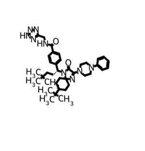 CC(C)(C)CC[C@H](c1ccc(C(=O)NCc2nn[nH]n2)cc1)N1C(=O)C(N2CCN(c3ccccc3)CC2)=NC12CCC(C(C)(C)C)CC2